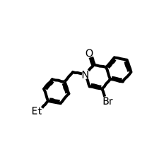 CCc1ccc(Cn2cc(Br)c3ccccc3c2=O)cc1